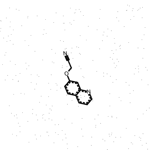 N#CCOc1ccc2cccnc2c1